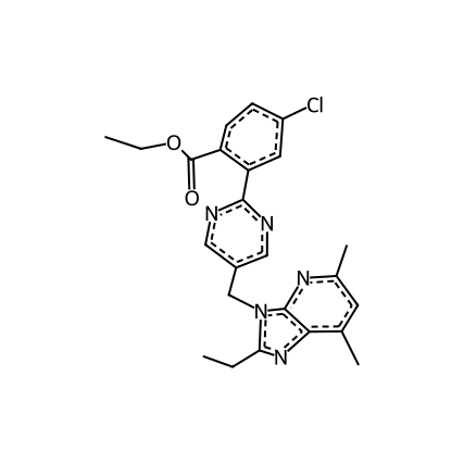 CCOC(=O)c1ccc(Cl)cc1-c1ncc(Cn2c(CC)nc3c(C)cc(C)nc32)cn1